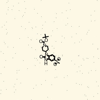 CC(C)(C)OC(=O)N1CCC(n2c(=O)[nH]c3cc(S(C)(=O)=O)ccc32)CC1